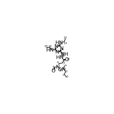 CCCCC[C@H](CN(O)C=O)C(=O)NNc1nc(NCC)nc(NCC)n1